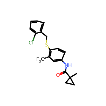 CC1(C(=O)Nc2ccc(SCc3ccccc3Cl)c(C(F)(F)F)c2)CC1